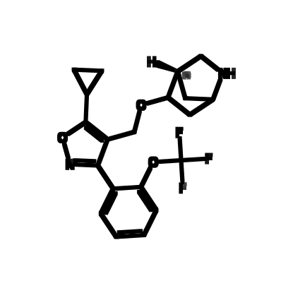 FC(F)(F)Oc1ccccc1-c1noc(C2CC2)c1COC1CC2C[C@H]1CN2